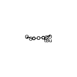 CC(C)(C)c1cc(C2CCC(c3ccc(OCC4CO4)cc3)CC2)ccc1OCC1CO1